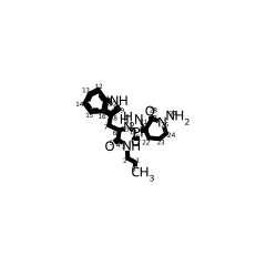 CCCNC(=O)C(Cc1c[nH]c2ccccc12)N[PH](=O)[C@@]1(N)CCCN(N)C1=O